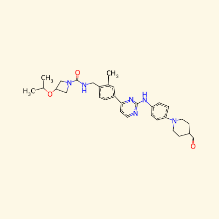 Cc1cc(-c2ccnc(Nc3ccc(N4CCC(C=O)CC4)cc3)n2)ccc1CNC(=O)N1CC(OC(C)C)C1